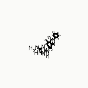 Cc1cc(Nc2n[nH]c(N)n2)cc(C)c1C(=O)Nc1ccccc1